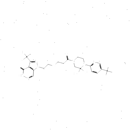 CC1(C)CN(C(=O)CCOCCn2nc(C(F)(F)F)c3c(=O)[nH]ncc32)CCN1c1ccc(C(F)(F)F)cn1